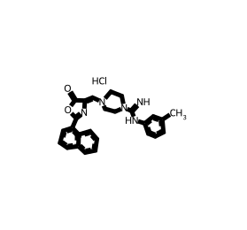 Cc1cccc(NC(=N)N2CCN(C=C3N=C(c4cccc5ccccc45)OC3=O)CC2)c1.Cl